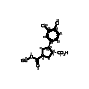 CC(C)(C)OC(=O)N1C[C@@H](C(=O)O)[C@H](c2ccc(Cl)c(Cl)c2)C1